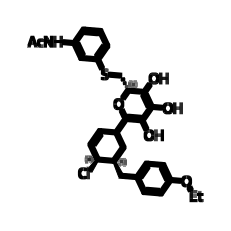 CCOc1ccc(C[C@@H]2CC(C3=C(O)C(O)=C(O)[C@@H](CSc4cccc(NC(C)=O)c4)O3)C=C[C@@H]2Cl)cc1